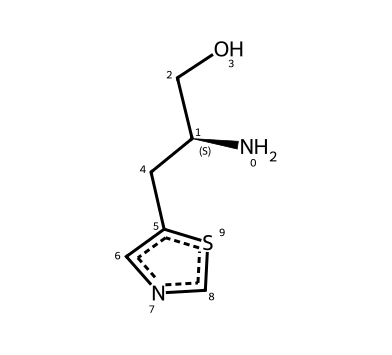 N[C@H](CO)Cc1cncs1